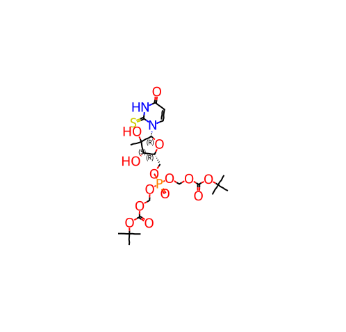 CC(C)(C)OC(=O)OCOP(=O)(OCOC(=O)OC(C)(C)C)OC[C@H]1O[C@@H](n2ccc(=O)[nH]c2=S)C(C)(O)[C@H]1O